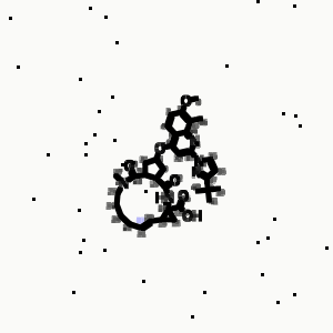 COc1ccc2c(OC3CC4C(=O)NC5(C(=O)O)CC5/C=C/CCCCN(C)C(=O)C4C3)cc(-n3ccc(C(C)(C)C)n3)nc2c1C